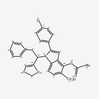 CCOC(=O)c1ncc2c(cc(-c3ccc(Cl)cc3)n2C(Cc2ccccc2)C2=COCO2)c1OC(=O)C(C)(C)C